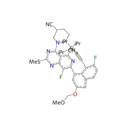 COCOc1cc(-c2nc(C)c3c(N4CCCC(C#N)C4)nc(SC)nc3c2F)c2c(C#C[Si](C(C)C)(C(C)C)C(C)C)c(F)ccc2c1